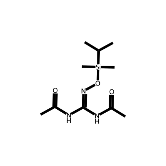 CC(=O)NC(=NO[Si](C)(C)C(C)C)NC(C)=O